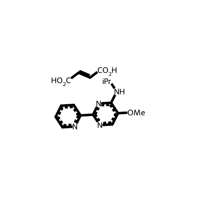 COc1cnc(-c2ccccn2)nc1NC(C)C.O=C(O)C=CC(=O)O